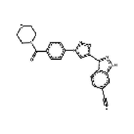 C#Cc1ccc2c(-c3cn(-c4ccc(C(=O)N5CCOCC5)cc4)nn3)n[nH]c2c1